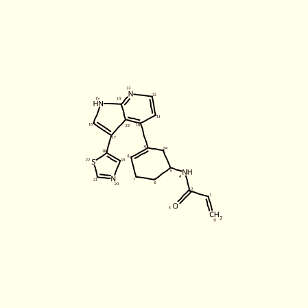 C=CC(=O)NC1CCC=C(c2ccnc3[nH]cc(-c4cncs4)c23)C1